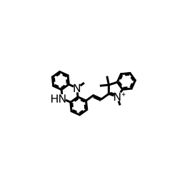 CN1c2ccccc2Nc2cccc(/C=C/C3=[N+](C)c4ccccc4C3(C)C)c21